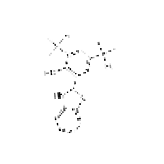 CCC(C)(C)c1cc(C2Nc3ccccc3S2)c(O)c(C(C)(C)CC)c1